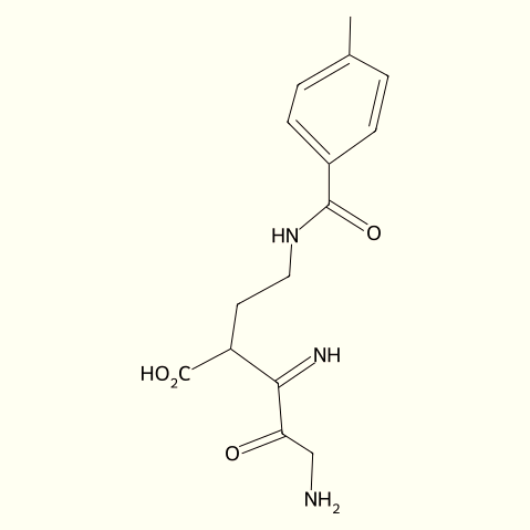 Cc1ccc(C(=O)NCCC(C(=N)C(=O)CN)C(=O)O)cc1